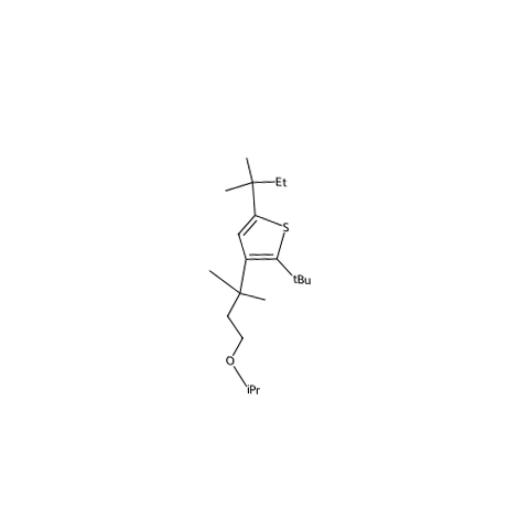 CCC(C)(C)c1cc(C(C)(C)CCOC(C)C)c(C(C)(C)C)s1